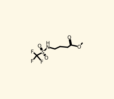 COC(=O)CCCNS(=O)(=O)C(F)(F)F